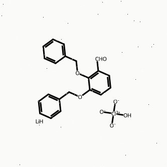 O=Cc1cccc(OCc2ccccc2)c1OCc1ccccc1.[LiH].[O-][Cl+3]([O-])([O-])O